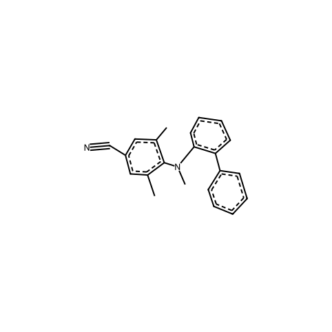 Cc1cc(C#N)cc(C)c1N(C)c1ccccc1-c1ccccc1